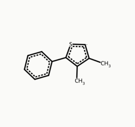 Cc1[c]sc(-c2ccccc2)c1C